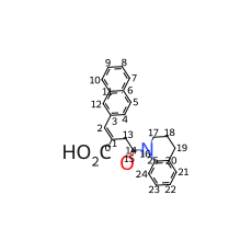 O=C(O)/C(=C/c1ccc2ccccc2c1)CC(=O)N1CCCc2ccccc21